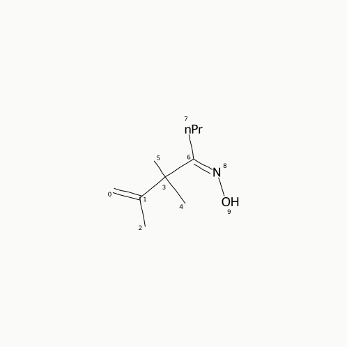 C=C(C)C(C)(C)C(CCC)=NO